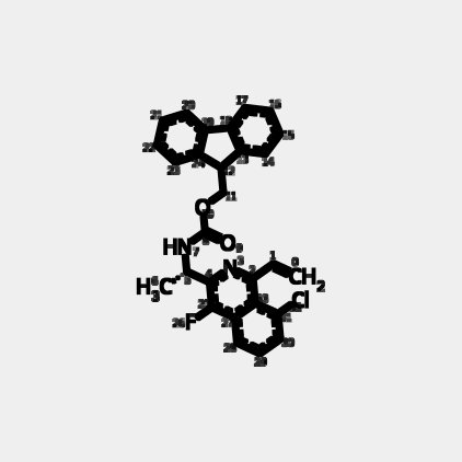 C=Cc1nc([C@H](C)NC(=O)OCC2c3ccccc3-c3ccccc32)c(F)c2cccc(Cl)c12